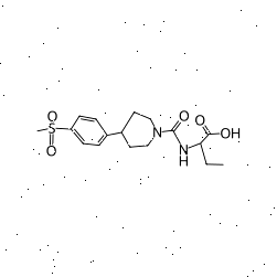 CCC(NC(=O)N1CCC(c2ccc(S(C)(=O)=O)cc2)CC1)C(=O)O